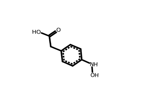 O=C(O)Cc1ccc(NO)cc1